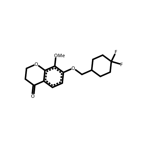 COc1c(OCC2CCC(F)(F)CC2)ccc2c1OCCC2=O